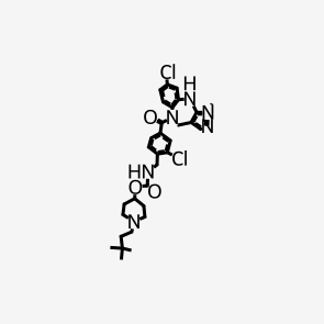 Cn1ncc2c1Nc1cc(Cl)ccc1N(C(=O)c1ccc(CNC(=O)OC3CCN(CCC(C)(C)C)CC3)c(Cl)c1)C2